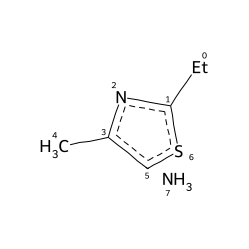 CCc1nc(C)cs1.N